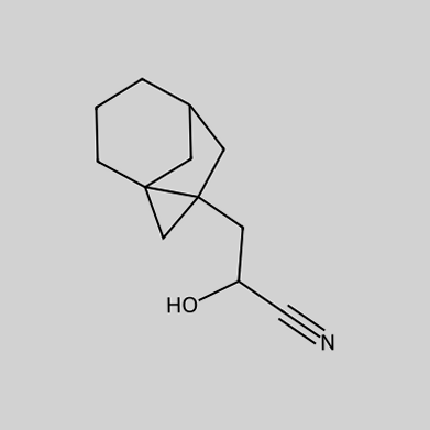 N#CC(O)CC12CC3CCCC1(C3)C2